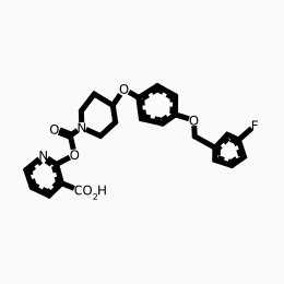 O=C(O)c1cccnc1OC(=O)N1CCC(Oc2ccc(OCc3cccc(F)c3)cc2)CC1